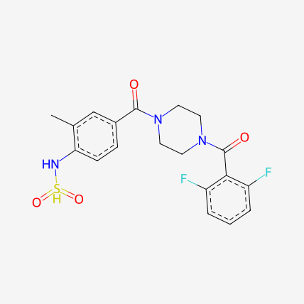 Cc1cc(C(=O)N2CCN(C(=O)c3c(F)cccc3F)CC2)ccc1N[SH](=O)=O